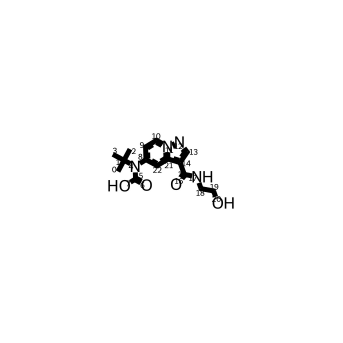 CC(C)(C)N(C(=O)O)c1ccn2ncc(C(=O)NCCO)c2c1